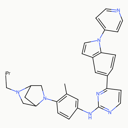 Cc1cc(Nc2nccc(-c3ccc4c(ccn4-c4ccncc4)c3)n2)ccc1N1CC2CC1CN2CC(C)C